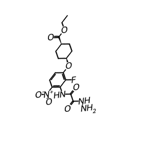 CCOC(=O)[C@H]1CC[C@@H](Oc2ccc([N+](=O)[O-])c(NC(=O)C(=O)NN)c2F)CC1